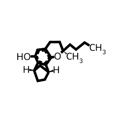 CCCC[C@]1(C)CCc2cc(O)c3c(c2O1)[C@@H]1CC[C@H]3C1